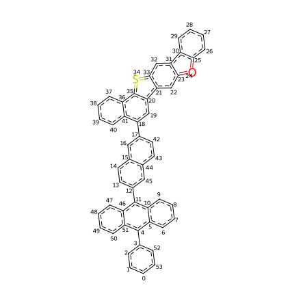 c1ccc(-c2c3ccccc3c(-c3ccc4cc(-c5cc6c7cc8oc9ccccc9c8cc7sc6c6ccccc56)ccc4c3)c3ccccc23)cc1